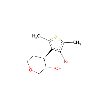 Cc1sc(C)c([C@@H]2CCOC[C@H]2O)c1Br